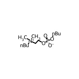 CCCCOP(=O)([O-])OCC[N+](C)(C)CCCC